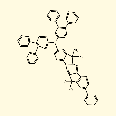 CC1(C)c2cc(-c3ccccc3)ccc2-c2cc3c(cc21)-c1ccc(N(c2ccc(-c4ccccc4)c(-c4ccccc4)c2)c2ccc(-c4ccccc4)c(-c4ccccc4)c2)cc1C3(C)C